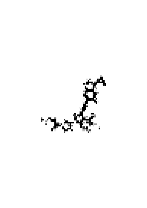 C=CC(=O)N1CC[C@H](n2nc(C#Cc3cc4ncn(C5CC5)c4cc3F)c(C(N)=O)c2N)C1